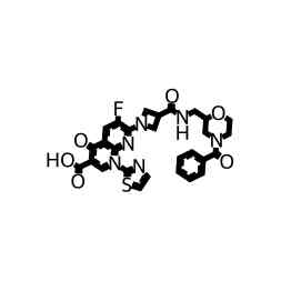 O=C(O)c1cn(-c2nccs2)c2nc(N3CC(C(=O)NCC4CN(C(=O)c5ccccc5)CCO4)C3)c(F)cc2c1=O